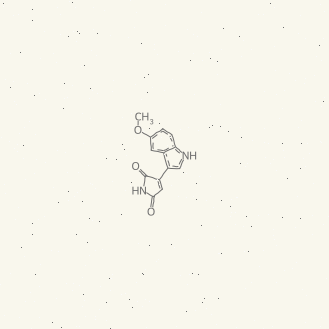 COc1ccc2[nH]cc(C3=CC(=O)NC3=O)c2c1